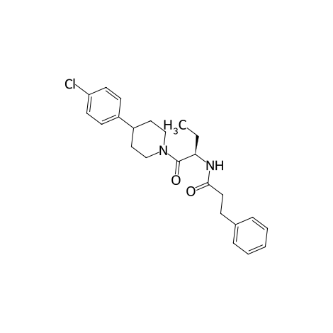 CC[C@@H](NC(=O)CCc1ccccc1)C(=O)N1CCC(c2ccc(Cl)cc2)CC1